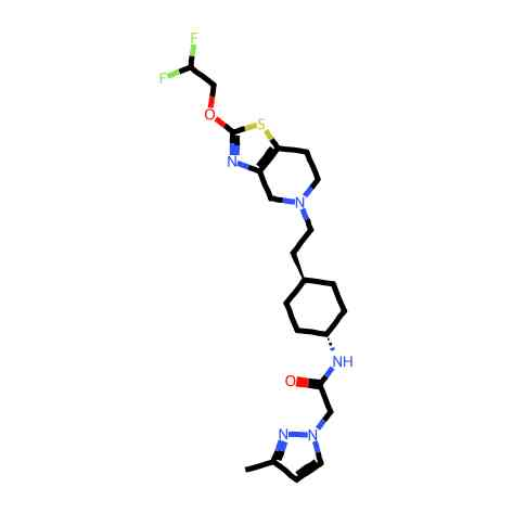 Cc1ccn(CC(=O)N[C@H]2CC[C@H](CCN3CCc4sc(OCC(F)F)nc4C3)CC2)n1